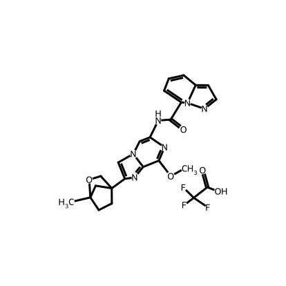 COc1nc(NC(=O)c2cccc3ccnn23)cn2cc(C34CCC(C)(C3)OC4)nc12.O=C(O)C(F)(F)F